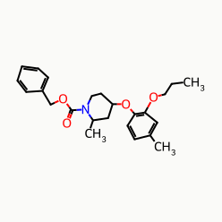 CCCOc1cc(C)ccc1OC1CCN(C(=O)OCc2ccccc2)C(C)C1